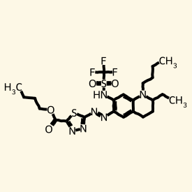 CCCCOC(=O)c1nnc(N=Nc2cc3c(cc2NS(=O)(=O)C(F)(F)F)N(CCCC)C(CC)CC3)s1